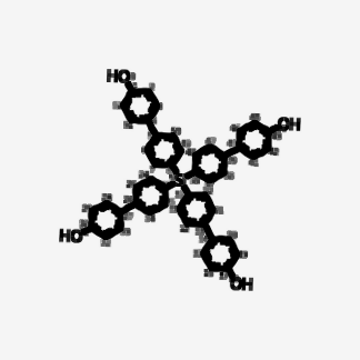 Oc1ccc(-c2ccc([Si](c3ccc(-c4ccc(O)cc4)cc3)(c3ccc(-c4ccc(O)cc4)cc3)c3ccc(-c4ccc(O)cc4)cc3)cc2)cc1